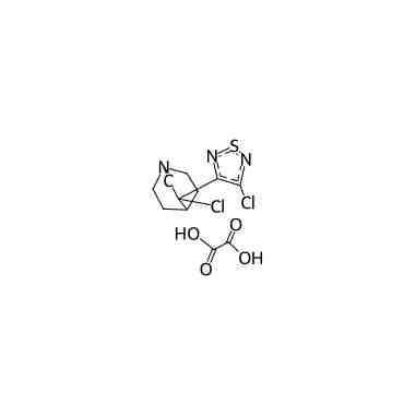 Clc1nsnc1C1(Cl)CN2CCC1CC2.O=C(O)C(=O)O